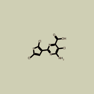 Nc1nc(-c2cc(Cl)sc2Cl)nc(C(=O)O)c1Cl